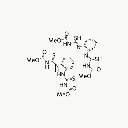 COC(=O)NC(=S)Nc1ccccc1NC(=S)NC(=O)OC.COC(=O)NC(S)=Nc1ccccc1N=C(S)NC(=O)OC